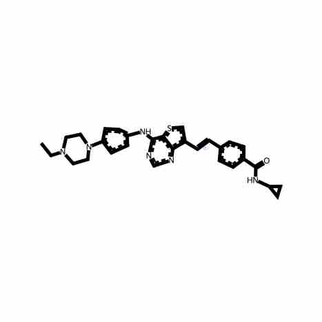 CCN1CCN(c2ccc(Nc3ncnc4c(/C=C/c5ccc(C(=O)NC6CC6)cc5)csc34)cc2)CC1